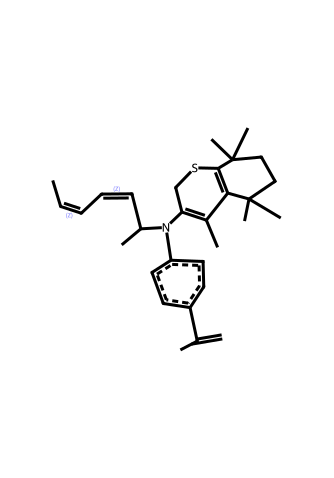 C=C(C)c1ccc(N(C2=C(C)C3=C(SC2)C(C)(C)CCC3(C)C)C(C)/C=C\C=C/C)cc1